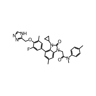 Cc1ccc(N(C)C(=O)Cn2c(=O)n(C3CC3)c3c(-c4cc(C)c(OCc5nnc[nH]5)c(F)c4)cc(C)cc32)cc1